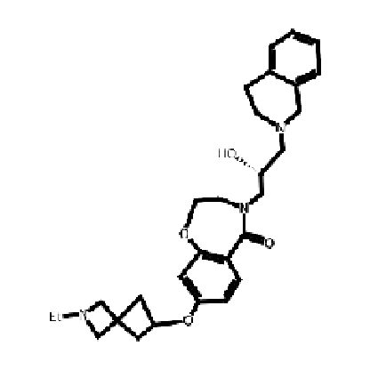 CCN1CC2(CC(Oc3ccc4c(c3)OCCN(C[C@H](O)CN3CCc5ccccc5C3)C4=O)C2)C1